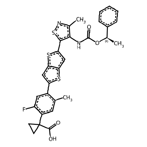 Cc1cc(C2(C(=O)O)CC2)c(F)cc1-c1cc2sc(-c3snc(C)c3NC(=O)O[C@H](C)c3ccccc3)cc2s1